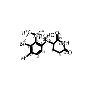 CN(C)c1c(N(C=O)C2CCC(=O)NC2=O)ccc(F)c1Br